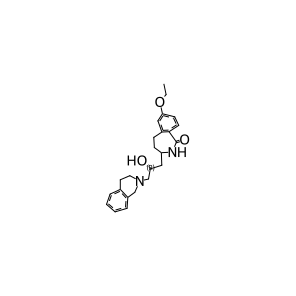 CCOc1ccc2c(c1)CCC(C[C@@H](O)CN1CCc3ccccc3C1)NC2=O